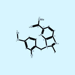 CCOc1ccc(Cn2c(C)nc3ccc(C(=O)OC)nc32)c(Cl)c1